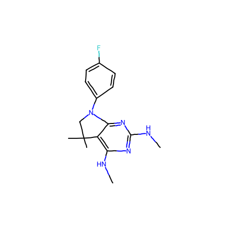 CNc1nc(NC)c2c(n1)N(c1ccc(F)cc1)CC2(C)C